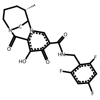 C[C@H]1CCCN2CC1n1cc(C(=O)NCc3c(F)cc(F)cc3F)c(=O)c(O)c1C2=O